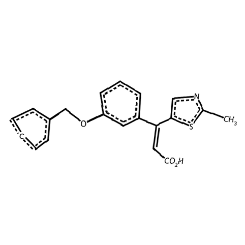 Cc1ncc(C(=CC(=O)O)c2cccc(OCc3ccccc3)c2)s1